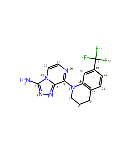 Nc1nnc2c(N3CCCc4ccc(C(F)(F)F)cc43)nccn12